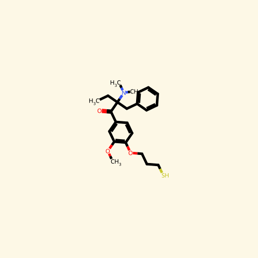 CCC(Cc1ccccc1)(C(=O)c1ccc(OCCCS)c(OC)c1)N(C)C